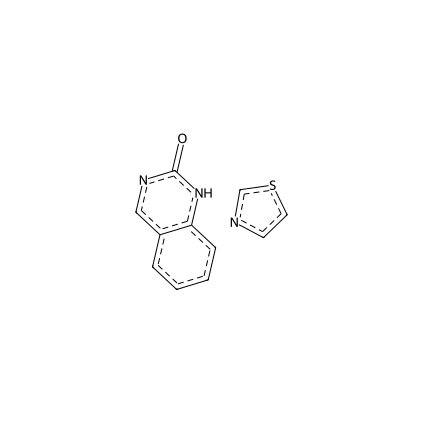 O=c1ncc2ccccc2[nH]1.c1cscn1